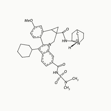 COc1ccc2c(c1)C1CC1(C(=O)N[C@@H]1CC3CCN1CC3)Cn1c-2c(C2CCCCC2)c2ccc(C(=O)NS(=O)(=O)N(C)C)cc21